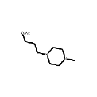 [CH2]N1CCN(CCCOC)CC1